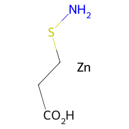 NSCCC(=O)O.[Zn]